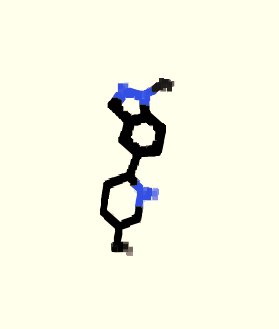 CC1CCC(c2ccc3c(cnn3C(C)C)c2)NC1